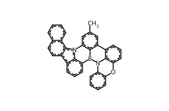 Cc1cc2c3c(c1)-n1c4c(cccc4c4ccc5ccccc5c41)B3N1c3ccccc3Oc3cccc-2c31